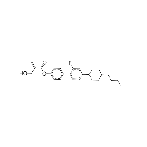 C=C(CO)C(=O)Oc1ccc(-c2ccc(C3CCC(CCCCC)CC3)cc2F)cc1